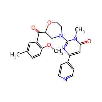 COc1ccc(C)cc1C(=O)C1CN(c2nc(-c3ccncc3)cc(=O)n2C)CCO1